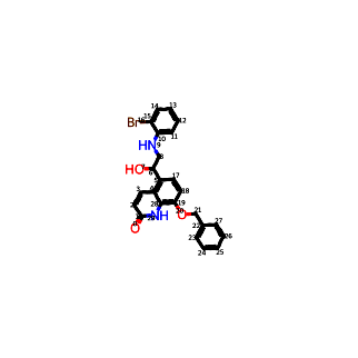 O=c1ccc2c(C(O)CNc3ccccc3Br)ccc(OCc3ccccc3)c2[nH]1